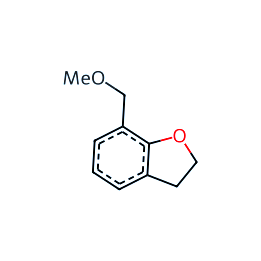 COCc1cccc2c1OCC2